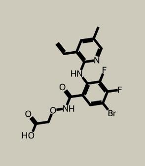 C=Cc1cc(C)cnc1Nc1c(C(=O)NOCC(=O)O)cc(Br)c(F)c1F